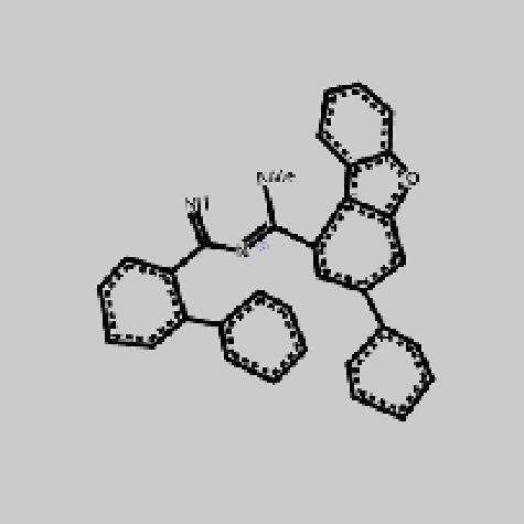 CN/C(=N\C(=N)c1ccccc1-c1ccccc1)c1cc(-c2ccccc2)cc2oc3ccccc3c12